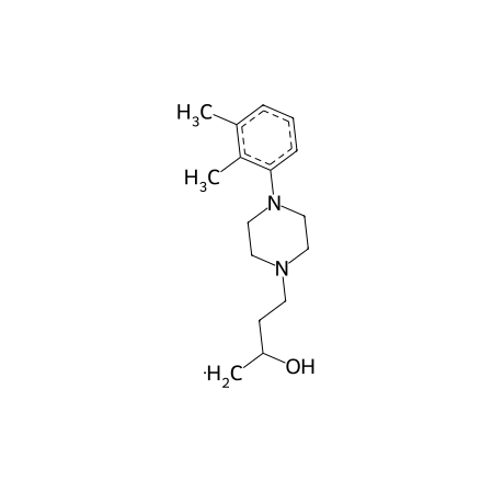 [CH2]C(O)CCN1CCN(c2cccc(C)c2C)CC1